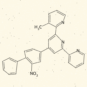 Cc1cccnc1-c1cc(-c2ccc(-c3ccccc3)c([N+](=O)[O-])c2)cc(-c2ccccn2)n1